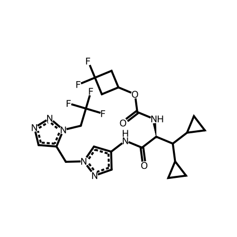 O=C(N[C@H](C(=O)Nc1cnn(Cc2cnnn2CC(F)(F)F)c1)C(C1CC1)C1CC1)OC1CC(F)(F)C1